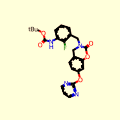 CC(C)(C)OC(=O)Nc1cccc(CN2Cc3ccc(Oc4ncccn4)cc3OC2=O)c1F